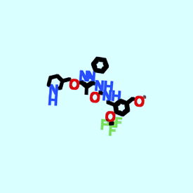 COCc1ccc(OC(F)(F)F)c(CNC(=O)Nc2c(C)c(OCC3CCCNC3)nn2-c2ccccc2)c1